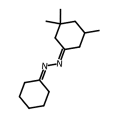 CC1CC(=NN=C2CCCCC2)CC(C)(C)C1